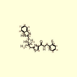 CC(C)(Cc1nc(C(=O)NCc2ncccc2F)cs1)NCc1nc2ccccc2[nH]1